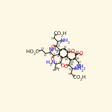 CC(C)C(N)C(=O)c1c(C(=O)C(N)CCC(=O)O)c(C(=O)C(N)CC(=O)O)cc2oc(=O)c(CN)c(C(=O)C(N)CC(=O)O)c12